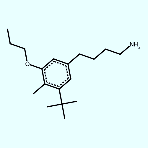 CCCOc1cc(CCCCN)cc(C(C)(C)C)c1C